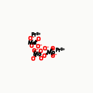 [O]=[Mo](=[O])([O-])[O-].[O]=[Mo](=[O])([O-])[O-].[O]=[Mo](=[O])([O-])[O-].[Pr+3].[Pr+3]